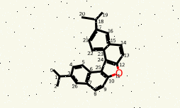 CC(C)c1ccc2c(ccc3oc4ccc5cc(C(C)C)ccc5c4c32)c1